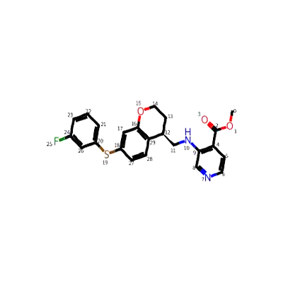 COC(=O)c1ccncc1NC[C@@H]1CCOc2cc(Sc3cccc(F)c3)ccc21